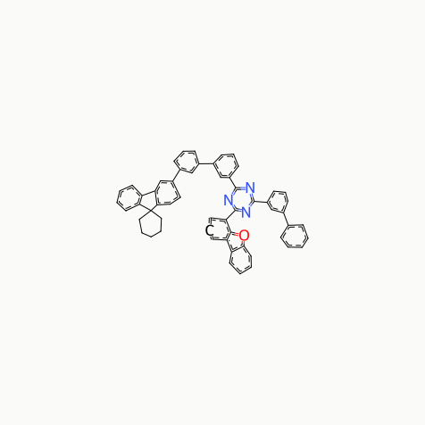 c1ccc(-c2cccc(-c3nc(-c4cccc(-c5cccc(-c6ccc7c(c6)-c6ccccc6C76CCCCC6)c5)c4)nc(-c4cccc5c4oc4ccccc45)n3)c2)cc1